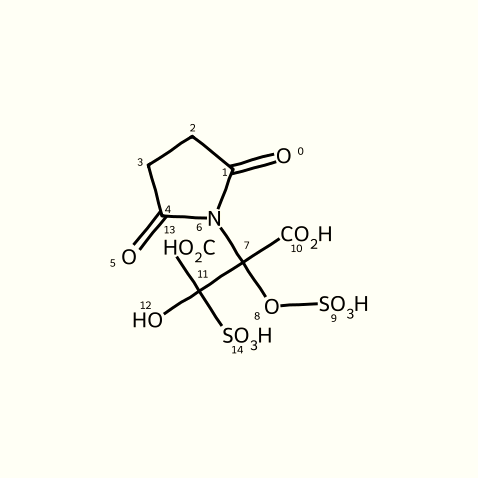 O=C1CCC(=O)N1C(OS(=O)(=O)O)(C(=O)O)C(O)(C(=O)O)S(=O)(=O)O